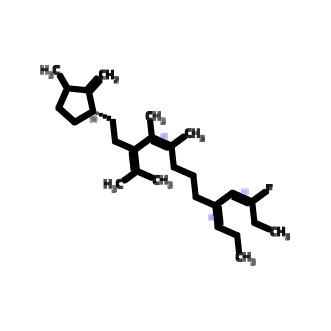 C=C1C(C)CC[C@H]1CCC(=C(C)C)/C(C)=C(/C)CCCC(=C/CC)/C=C(/F)CC